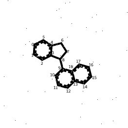 c1ccc2c(c1)CCC2c1cccc2ccccc12